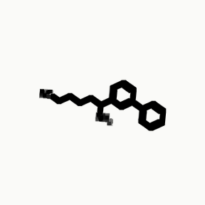 N#CCCCCC(N)c1cccc(-c2ccccc2)c1